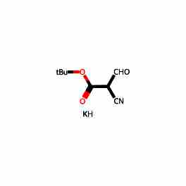 CC(C)(C)OC(=O)C(C#N)C=O.[KH]